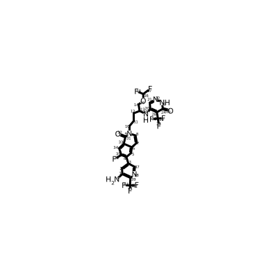 Nc1cc(-c2cc3ccn(CCCC(COC(F)F)Nc4cn[nH]c(=O)c4C(F)(F)F)c(=O)c3cc2F)cnc1C(F)(F)F